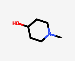 [CH2]N1CCC(O)CC1